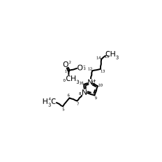 CC(=O)[O-].CCCCn1cc[n+](CCCC)c1